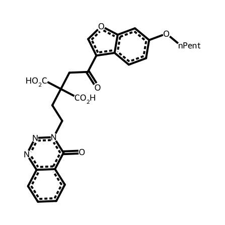 CCCCCOc1ccc2c(C(=O)CC(CCn3nnc4ccccc4c3=O)(C(=O)O)C(=O)O)coc2c1